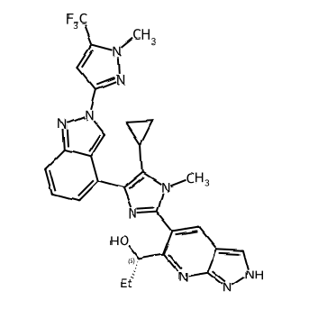 CC[C@H](O)c1nc2n[nH]cc2cc1-c1nc(-c2cccc3nn(-c4cc(C(F)(F)F)n(C)n4)cc23)c(C2CC2)n1C